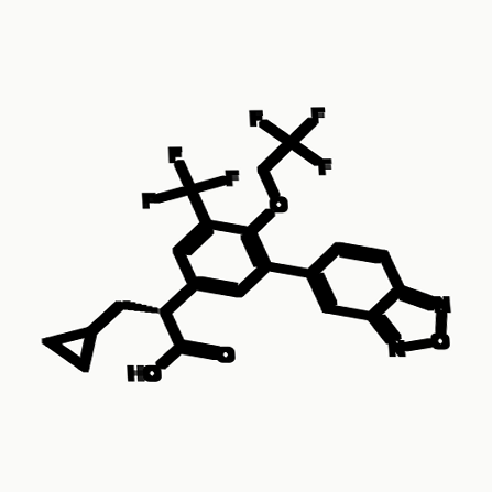 O=C(O)[C@H](CC1CC1)c1cc(-c2ccc3nonc3c2)c(OCC(F)(F)F)c(C(F)(F)F)c1